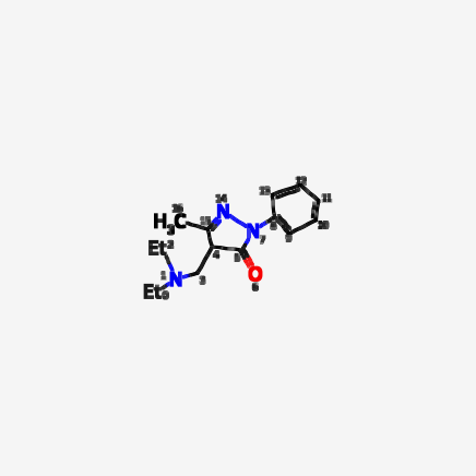 CCN(CC)CC1C(=O)N(c2ccccc2)N=C1C